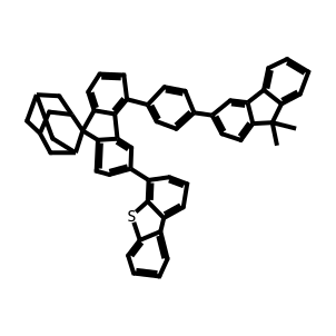 CC1(C)c2ccccc2-c2cc(-c3ccc(-c4cccc5c4-c4cc(-c6cccc7c6sc6ccccc67)ccc4C54C5CC6CC(C5)CC4C6)cc3)ccc21